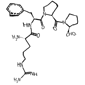 N=C(N)NCCC[C@H](N)C(=O)N[C@@H](Cc1ccccc1)C(=O)N1CCC[C@H]1C(=O)N1CCC[C@H]1[C]=O